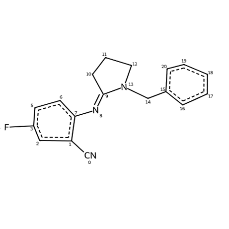 N#Cc1cc(F)ccc1/N=C1\CCCN1Cc1ccccc1